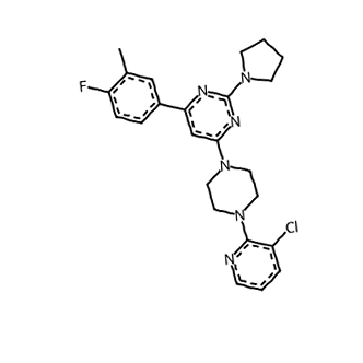 Cc1cc(-c2cc(N3CCN(c4ncccc4Cl)CC3)nc(N3CCCC3)n2)ccc1F